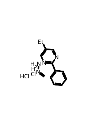 C=NN.CCc1cnc(-c2ccccc2)nc1.Cl.Cl